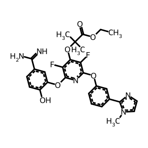 CCOC(=O)C(C)(C)Oc1c(F)c(Oc2cccc(-c3nccn3C)c2)nc(Oc2cc(C(=N)N)ccc2O)c1F